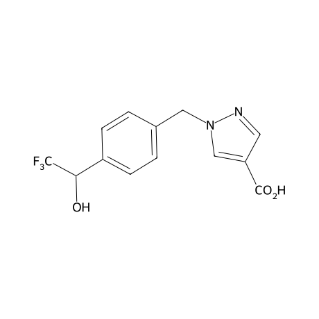 O=C(O)c1cnn(Cc2ccc(C(O)C(F)(F)F)cc2)c1